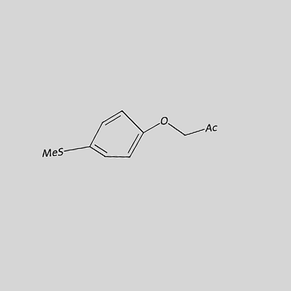 CSc1ccc(OCC(C)=O)cc1